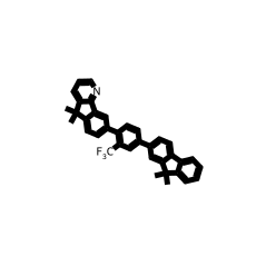 CC1(C)c2ccccc2-c2ccc(-c3ccc(-c4ccc5c(c4)-c4ncccc4C5(C)C)c(C(F)(F)F)c3)cc21